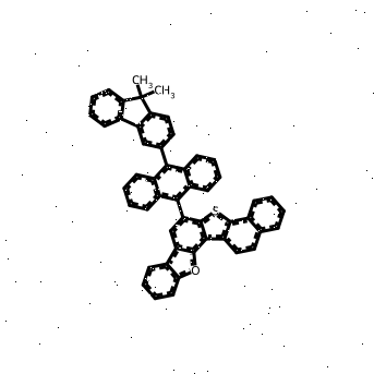 CC1(C)c2ccccc2-c2cc(-c3c4ccccc4c(-c4cc5c6ccccc6oc5c5c4sc4c6ccccc6ccc45)c4ccccc34)ccc21